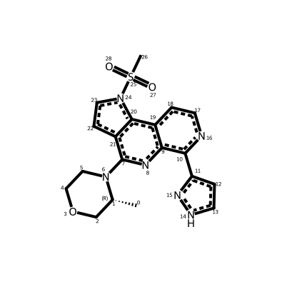 C[C@@H]1COCCN1c1nc2c(-c3cc[nH]n3)nccc2c2c1ccn2S(C)(=O)=O